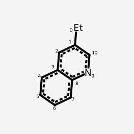 CCc1[c]c2ccccc2nc1